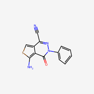 N#Cc1nn(-c2ccccc2)c(=O)c2c(N)scc12